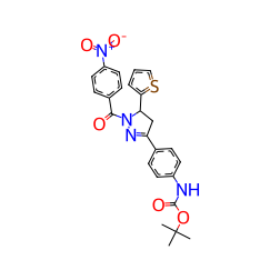 CC(C)(C)OC(=O)Nc1ccc(C2=NN(C(=O)c3ccc([N+](=O)[O-])cc3)C(c3cccs3)C2)cc1